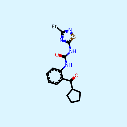 CCc1nsc(NC(=O)Nc2ccccc2C(=O)C2CCCC2)n1